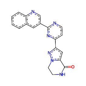 O=C1NCCn2nc(-c3ccnc(-c4cnc5ccccc5c4)n3)cc21